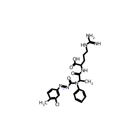 Cc1ccc(/N=N/C(=O)N(c2ccccc2)C(C)C(=O)NC(CCCNC(=N)N)C(=O)O)cc1Cl